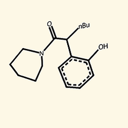 CCCCC(C(=O)N1CCCCC1)c1ccccc1O